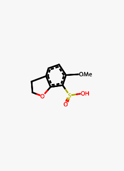 COc1ccc2c(c1S(=O)O)OCC2